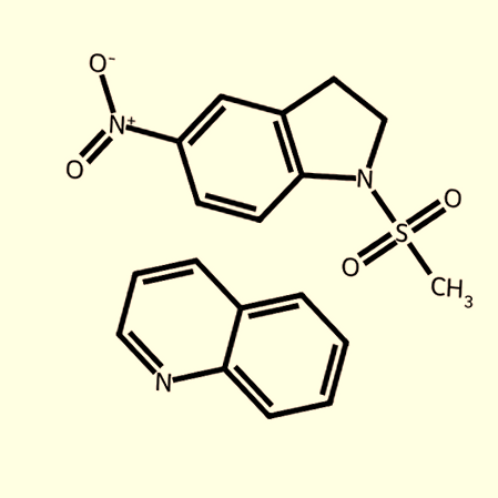 CS(=O)(=O)N1CCc2cc([N+](=O)[O-])ccc21.c1ccc2ncccc2c1